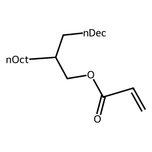 C=CC(=O)OCC(CCCCCCCC)CCCCCCCCCCC